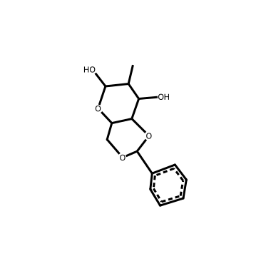 CC1C(O)OC2COC(c3ccccc3)OC2C1O